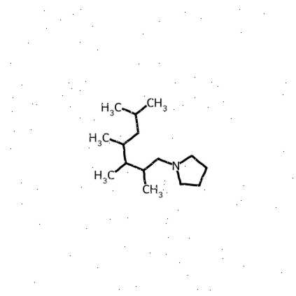 CC(C)CC(C)C(C)C(C)CN1CCCC1